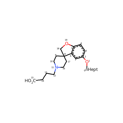 CCCCCCCOc1ccc2c(c1)C1(CCN(CCCC(=O)O)CC1)CO2